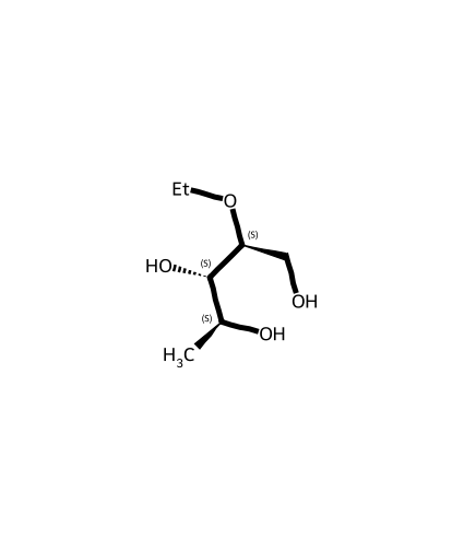 CCO[C@@H](CO)[C@@H](O)[C@H](C)O